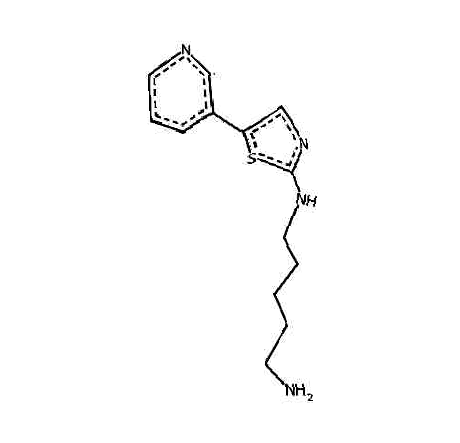 NCCCCCNc1ncc(-c2[c]nccc2)s1